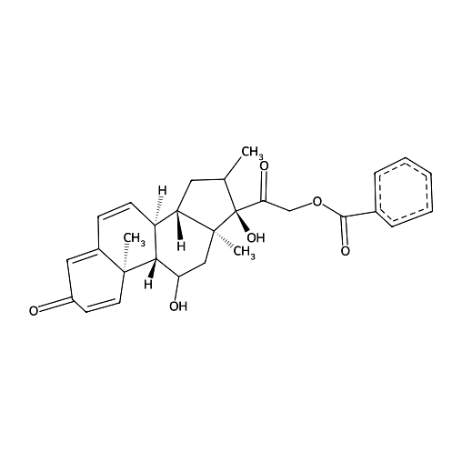 CC1C[C@H]2[C@@H]3C=CC4=CC(=O)C=C[C@]4(C)[C@H]3C(O)C[C@]2(C)[C@@]1(O)C(=O)COC(=O)c1ccccc1